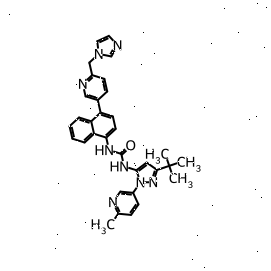 Cc1ccc(-n2nc(C(C)(C)C)cc2NC(=O)Nc2ccc(-c3ccc(Cn4ccnc4)nc3)c3ccccc23)cn1